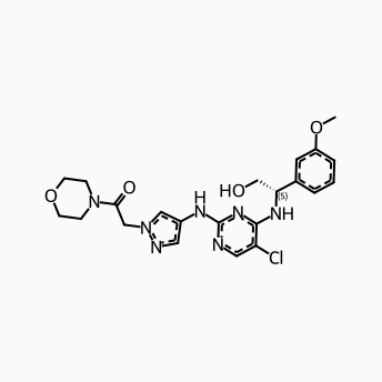 COc1cccc([C@@H](CO)Nc2nc(Nc3cnn(CC(=O)N4CCOCC4)c3)ncc2Cl)c1